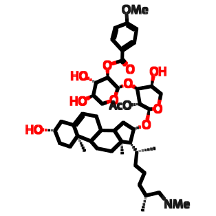 CNC[C@H](C)CCC[C@@H](C)[C@H]1[C@@H](O[C@@H]2OC[C@H](O)[C@H](O[C@@H]3OC[C@@H](O)[C@H](O)[C@H]3OC(=O)c3ccc(OC)cc3)[C@H]2OC(C)=O)CC2C3CC=C4C[C@@H](O)CC[C@]4(C)C3CC[C@@]21C